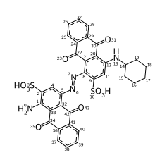 Nc1c(S(=O)(=O)O)cc(N=Nc2c(S(=O)(=O)O)cc(NC3CCCCC3)c3c2C(=O)c2ccccc2C3=O)c2c1C(=O)c1ccccc1C2=O